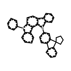 c1ccc(-n2c3ccccc3c3c2ccc2c4ccccc4n(-c4ccc5c(c4)C4(CCCC4)c4ccccc4-5)c23)cc1